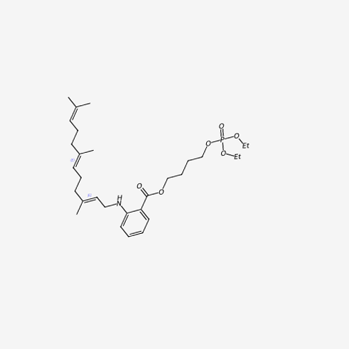 CCOP(=O)(OCC)OCCCCOC(=O)c1ccccc1NC/C=C(\C)CC/C=C(\C)CCC=C(C)C